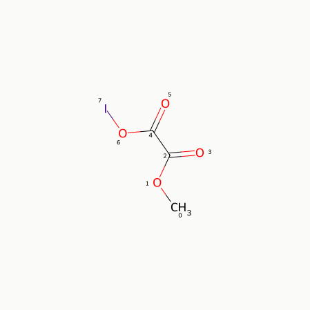 COC(=O)C(=O)OI